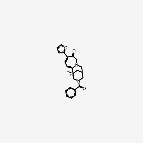 O=C1CN2CC3C[C@H](CN(C(=O)c4ccccc4)C3)C2=CC=C1c1ccco1